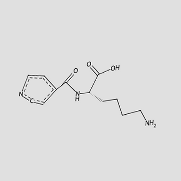 NCCCC[C@H](NC(=O)c1ccncc1)C(=O)O